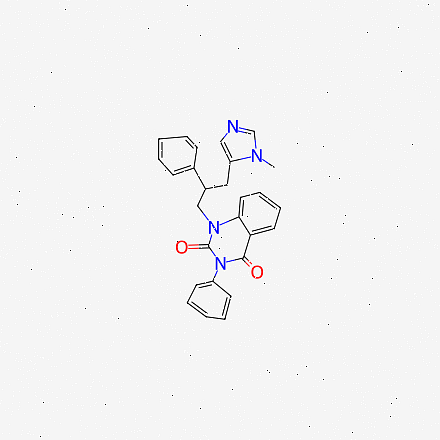 Cn1cncc1CC(Cn1c(=O)n(-c2ccccc2)c(=O)c2ccccc21)c1ccccc1